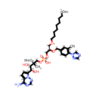 CCCCCCCCCCCCCCCCCCOC[C@H](COP(=O)(O)OC[C@@](C)(OC)[C@@H](O)[C@@H](O)c1ccc2c(N)ncnn12)OCc1ccc(-n2cncn2)c(C#N)c1